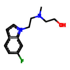 CN(CCO)CCn1ccc2ccc(F)cc21